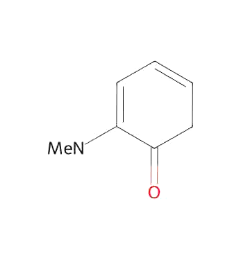 CNC1=CC=CCC1=O